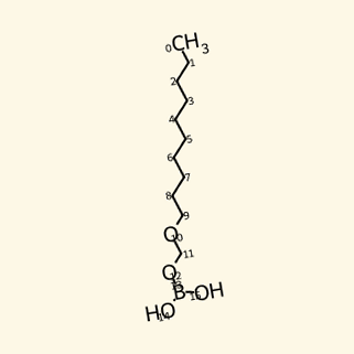 CCCCCCCCCCOCOB(O)O